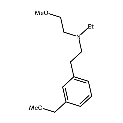 CCN(CCOC)CCc1cccc(COC)c1